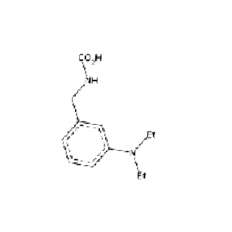 CCN(CC)c1cccc(CNC(=O)O)c1